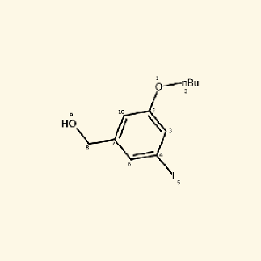 CCCCOc1cc(I)cc(CO)c1